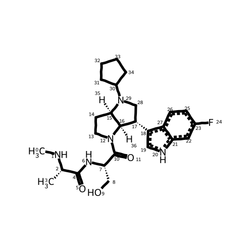 CN[C@@H](C)C(=O)N[C@@H](CO)C(=O)N1CC[C@@H]2[C@H]1[C@@H](c1c[nH]c3cc(F)ccc13)CN2C1CCCC1